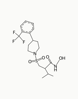 CC(C)C(CS(=O)(=O)N1CCC(c2ccccc2C(F)(F)F)CC1)C(=O)NO